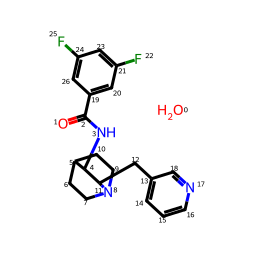 O.O=C(NC1C2CCN(CC2)C1Cc1cccnc1)c1cc(F)cc(F)c1